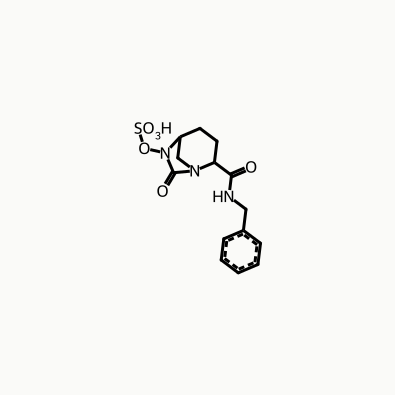 O=C(NCc1ccccc1)C1CCC2CN1C(=O)N2OS(=O)(=O)O